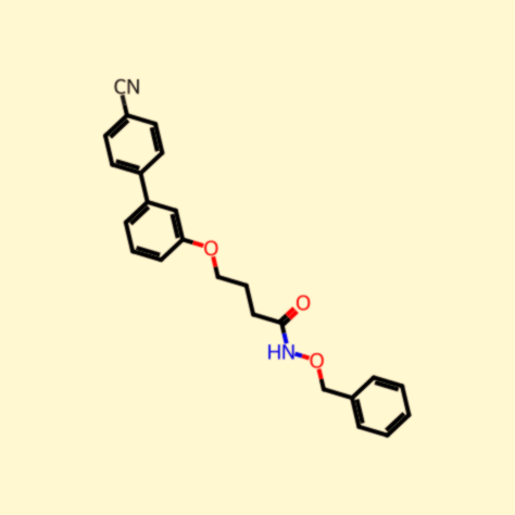 N#Cc1ccc(-c2cccc(OCCCC(=O)NOCc3ccccc3)c2)cc1